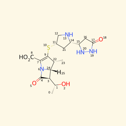 C[C@@H](O)[C@H]1C(=O)N2C(C(=O)O)=C(S[C@@H]3CN[C@H](C4CC(=O)NN4)C3)[C@H](C)[C@H]12